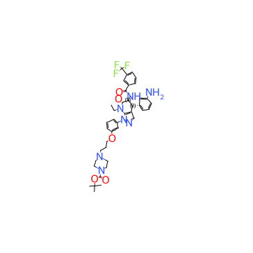 CCN1C(=O)[C@@H](NC(=O)c2cccc(C(F)(F)F)c2)[C@H](c2cccc(N)c2)c2cnn(-c3cccc(OCCCN4CCN(C(=O)OC(C)(C)C)CC4)c3)c21